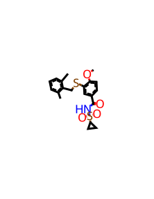 COc1ccc(C(=O)NS(=O)(=O)C2CC2)cc1SCc1c(C)cccc1C